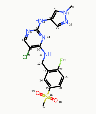 Cn1cc(Nc2ncc(Cl)c(NCc3cc(S(C)(=O)=O)ccc3F)n2)cn1